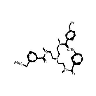 CCc1cccc(C(=O)N(C)CCN(CCN(C)C(=O)c2cccc(CSC)c2)CCN(C)C(=O)c2cccc(CC(C)C)c2)c1